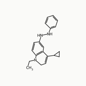 CCN1CC=C(C2CC2)c2cc(NNc3ccccc3)ccc21